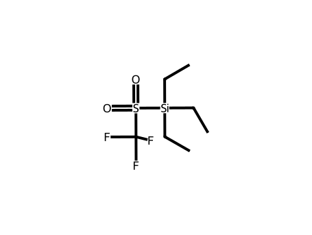 CC[Si](CC)(CC)S(=O)(=O)C(F)(F)F